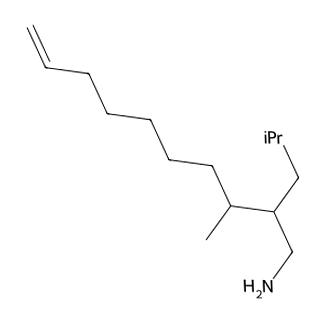 C=CCCCCCC(C)C(CN)CC(C)C